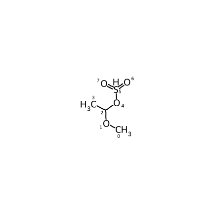 COC(C)O[SH](=O)=O